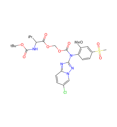 COc1cc(S(C)(=O)=O)ccc1N(C(=O)OCOC(=O)C(NC(=O)OC(C)(C)C)C(C)C)c1nc2ccc(Cl)cn2n1